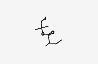 CCC(C)C(=O)OC(C)(C)CI